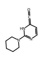 O=C=C1C=CN=C(N2CCCCC2)N1